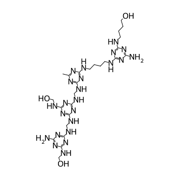 Cc1nc(NCCCCNc2nc(N)nc(NCCCCO)n2)nc(NCNc2nc(NCO)nc(NCNc3nc(N)nc(NCO)n3)n2)n1